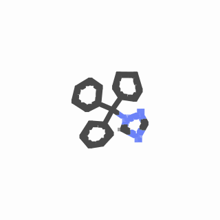 [c]1ncnn1C(c1ccccc1)(c1ccccc1)c1ccccc1